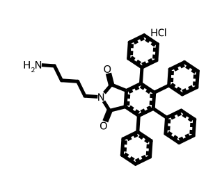 Cl.NCCCCN1C(=O)c2c(c(-c3ccccc3)c(-c3ccccc3)c(-c3ccccc3)c2-c2ccccc2)C1=O